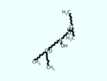 CCCCCCCCOCC(CCCC)C(=O)OCCCCCN(CCO)CCCCCCCC(=O)OC(CCCCCCCC)CCCCCCCC